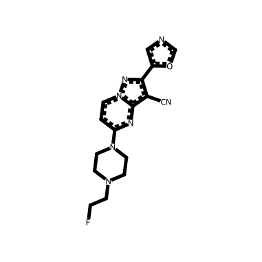 N#Cc1c(-c2cnco2)nn2ccc(N3CCN(CCF)CC3)nc12